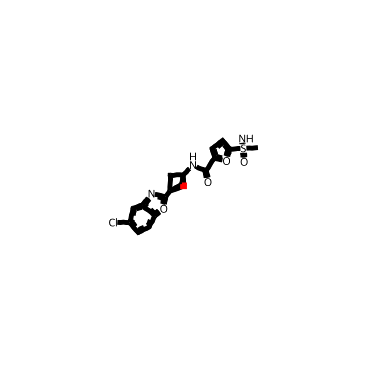 CS(=N)(=O)c1ccc(C(=O)NC23CC(c4nc5cc(Cl)ccc5o4)(C2)C3)o1